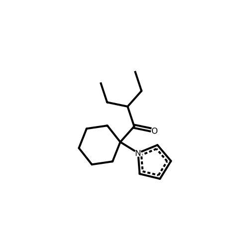 CCC(CC)C(=O)C1(n2cccc2)CCCCC1